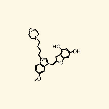 COc1ccc2c(c1)c(C=C1Cc3c(O)cc(O)cc3O1)cn2CCCCN1CCOCC1